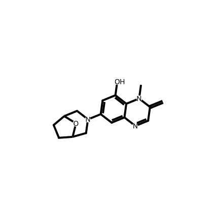 C=C1C=Nc2cc(N3CC4CCC(C3)O4)cc(O)c2N1C